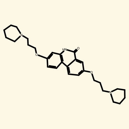 O=c1[nH]c2cc(OCCCN3CCCCC3)ccc2c2ccc(OCCCN3CCCCC3)cc12